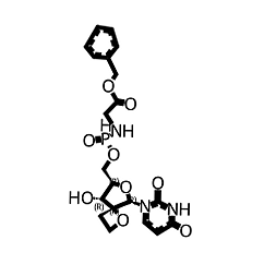 O=C(CN[PH](=O)OC[C@H]1O[C@@H](n2ccc(=O)[nH]c2=O)[C@@]2(CCO2)[C@@H]1O)OCc1ccccc1